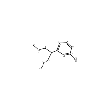 COCC(COC)c1cccc(Cl)c1